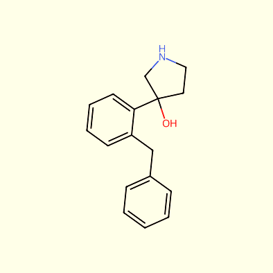 OC1(c2ccccc2Cc2ccccc2)CCNC1